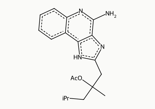 CC(=O)OC(C)(Cc1nc2c(N)nc3ccccc3c2[nH]1)CC(C)C